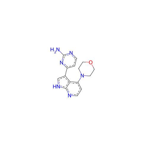 Nc1nccc(-c2c[nH]c3nccc(N4CCOCC4)c23)n1